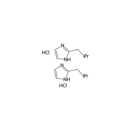 CC(C)Cc1ncc[nH]1.CC(C)Cc1ncc[nH]1.Cl.Cl